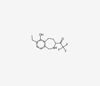 CCc1ccc2c(c1O)CCC(C(=O)C(F)(F)F)NC2